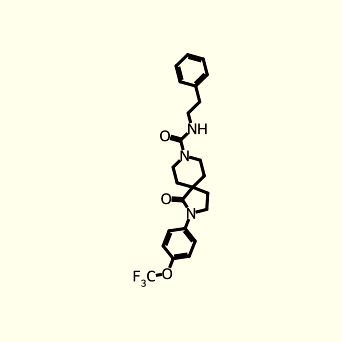 O=C(NCCc1ccccc1)N1CCC2(CC1)CCN(c1ccc(OC(F)(F)F)cc1)C2=O